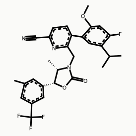 COc1cc(F)c(C(C)C)cc1-c1ccc(C#N)nc1CN1C(=O)O[C@H](c2cc(C)cc(C(F)(F)F)c2)[C@@H]1C